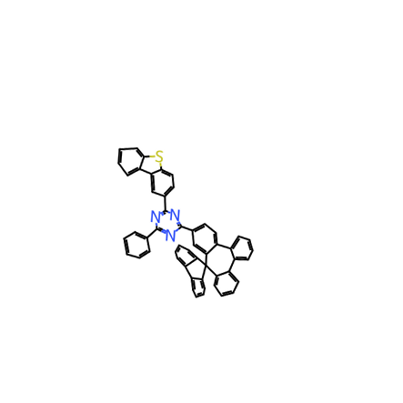 c1ccc(-c2nc(-c3ccc4c(c3)C3(c5ccccc5-c5ccccc5-4)c4ccccc4-c4ccccc43)nc(-c3ccc4sc5ccccc5c4c3)n2)cc1